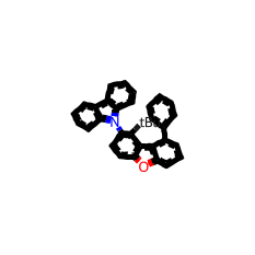 CC(C)(C)c1c(-n2c3ccccc3c3ccccc32)ccc2oc3cccc(-c4ccccc4)c3c12